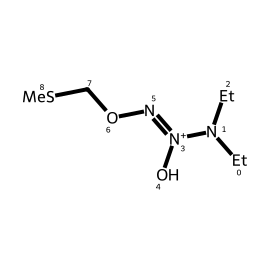 CCN(CC)[N+](O)=NOCSC